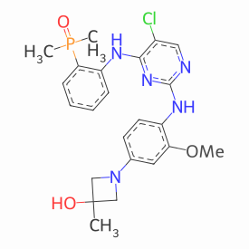 COc1cc(N2CC(C)(O)C2)ccc1Nc1ncc(Cl)c(Nc2ccccc2P(C)(C)=O)n1